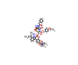 COc1ccc(COC(=O)C2=C(COC(=O)c3[nH]c4c(C(C)C)cccc4c3-c3ccc(S(=O)(=O)N(C)C)cc3)CS(=O)(=O)[C@@H]3[C@H](NC(=O)Cc4ccccc4)C(=O)N23)cc1